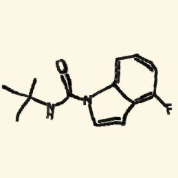 CC(C)(C)NC(=O)n1ccc2c(F)cccc21